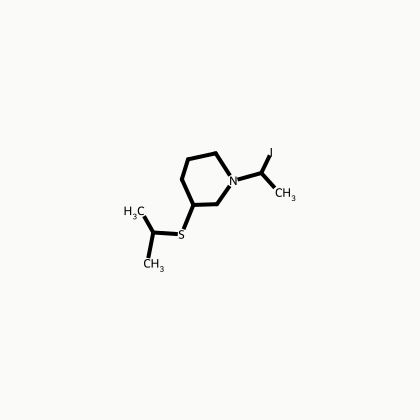 CC(C)SC1CCCN(C(C)I)C1